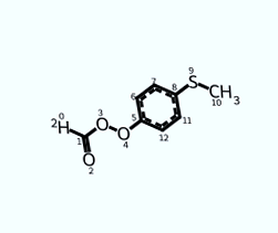 [2H]C(=O)OOc1ccc(SC)cc1